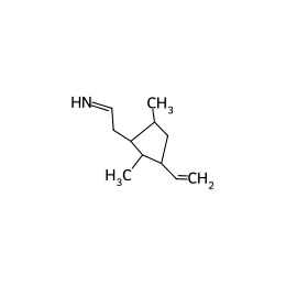 C=CC1CC(C)C(CC=N)C1C